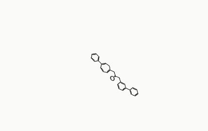 O=C(CC1=CC=CC(c2ccccc2)=CC1)Cc1cccc(-c2ccccc2)c1